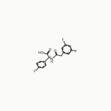 O=C(Cc1cc(F)cc(F)c1)N[C@H](C(=O)O)c1ccc(F)cc1